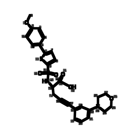 COc1ccc(-c2ccc(S(=O)(=O)NC(CC#Cc3cccc(N4CCOCC4)c3)C(=O)O)s2)cc1